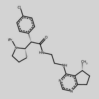 CC(C)N1CCC[C@H]1[C@@H](C(=O)NCCNc1ncnc2c1[C@H](C)CC2)c1ccc(Cl)cc1